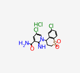 Cl.N=c1c(C(N)=O)cc(Cl)cn1C1CCS(=O)(=O)c2ccc(Cl)cc21